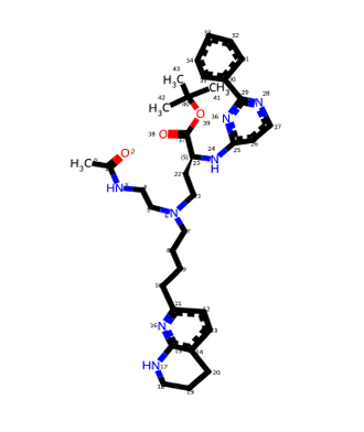 CC(=O)NCCN(CCCCc1ccc2c(n1)NCCC2)CC[C@H](Nc1ccnc(-c2ccccc2)n1)C(=O)OC(C)(C)C